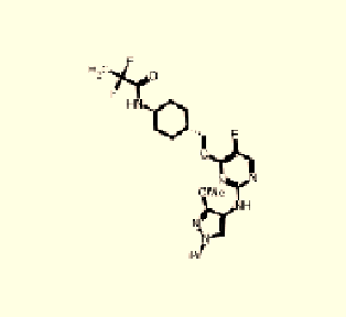 COc1nn(C(C)C)cc1Nc1ncc(F)c(OC[C@H]2CC[C@H](NC(=O)C(C)(F)F)CC2)n1